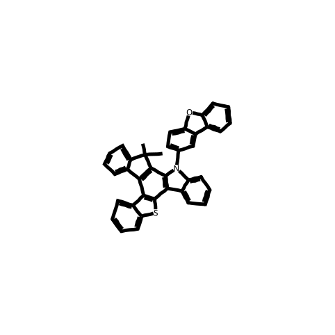 CC1(C)c2ccccc2-c2c1c1c(c3ccccc3n1-c1ccc3oc4ccccc4c3c1)c1sc3ccccc3c21